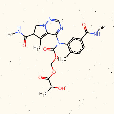 CCCNC(=O)c1ccc(C)c(N(C(=O)OCOC(=O)C(C)O)C2=NC=NN3CC(C(=O)NCC)C(C)=C23)c1